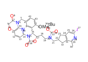 COc1ccc(CN2C(=O)COc3ccc(N4CC(CCN(CC5Cc6cc(I)nc(C)c6C5)C(=O)OC(C)(C)C)OC4=O)nc32)cc1